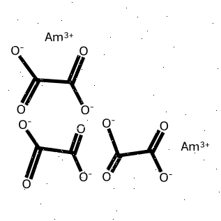 O=C([O-])C(=O)[O-].O=C([O-])C(=O)[O-].O=C([O-])C(=O)[O-].[Am+3].[Am+3]